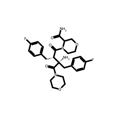 NC(=O)C1COCCN1C(=O)[C@@H](Cc1ccc(F)cc1)[C@@](N)(Cc1ccc(F)cc1)C(=O)N1CCOCC1